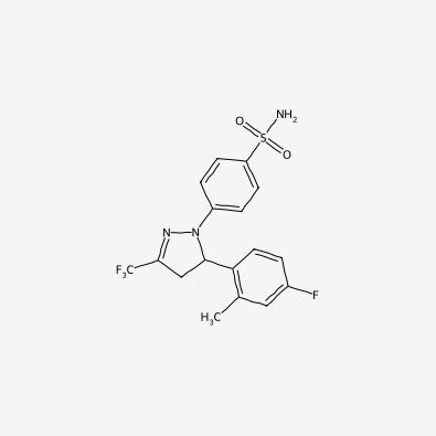 Cc1cc(F)ccc1C1CC(C(F)(F)F)=NN1c1ccc(S(N)(=O)=O)cc1